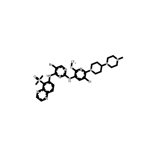 CCc1cc(Nc2ncc(Br)c(Nc3ccc4nccnc4c3P(C)(C)=O)n2)c(OC(F)(F)F)nc1N1CCC(N2CCN(C)CC2)CC1